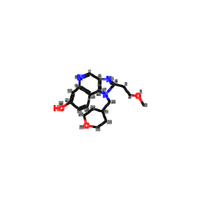 COCCc1nc2cnc3cc(O)ccc3c2n1CC1CCOCC1